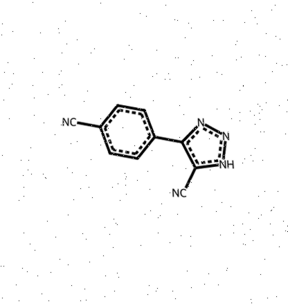 N#Cc1ccc(-c2nn[nH]c2C#N)cc1